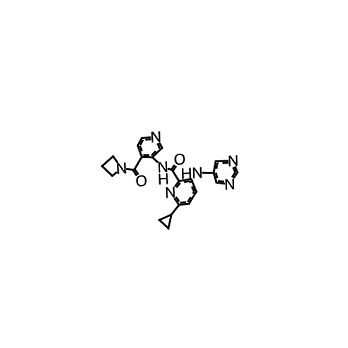 O=C(Nc1cnccc1C(=O)N1CCC1)c1nc(C2CC2)ccc1Nc1cncnc1